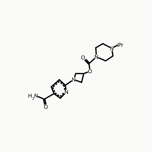 CC(C)N1CCN(C(=O)OC2CN(c3ccc(C(N)=O)cn3)C2)CC1